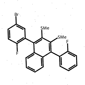 CSc1c(SC)c(-c2cc(Br)ccc2F)c2ccccc2c1-c1ccccc1F